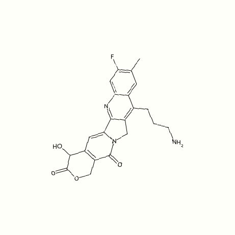 Cc1cc2c(CCCN)c3c(nc2cc1F)-c1cc2c(c(=O)n1C3)COC(=O)C2O